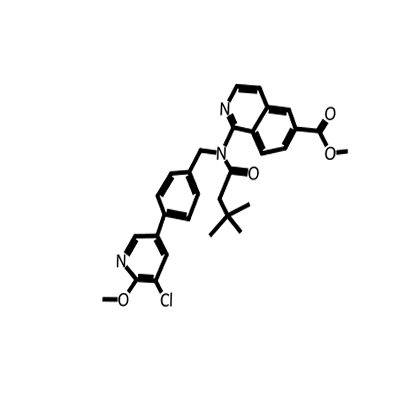 COC(=O)c1ccc2c(N(Cc3ccc(-c4cnc(OC)c(Cl)c4)cc3)C(=O)CC(C)(C)C)nccc2c1